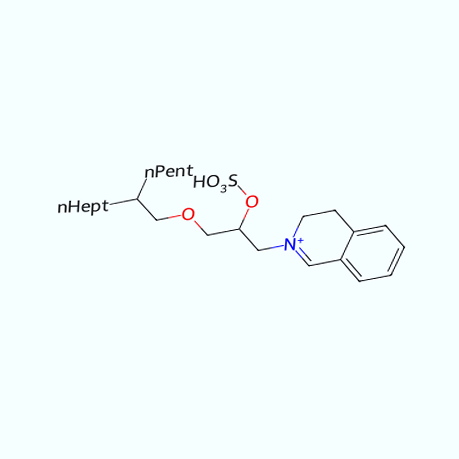 CCCCCCCC(CCCCC)COCC(C[N+]1=Cc2ccccc2CC1)OS(=O)(=O)O